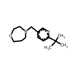 CC(C)(C)c1ccc(CN2CCCOCC2)cn1